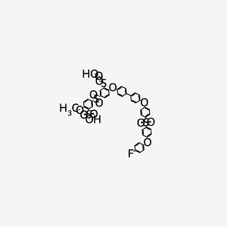 COc1ccc(S(=O)(=O)c2ccc(Oc3ccc(-c4ccc(Oc5ccc(S(=O)(=O)c6ccc(Oc7ccc(F)cc7)cc6)cc5)cc4)cc3)c(SOOO)c2)cc1S(=O)(=O)O